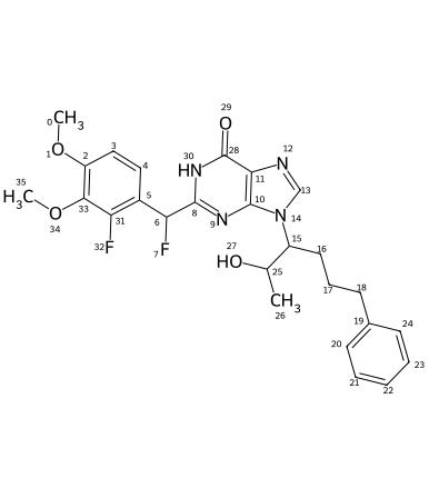 COc1ccc(C(F)c2nc3c(ncn3C(CCCc3ccccc3)C(C)O)c(=O)[nH]2)c(F)c1OC